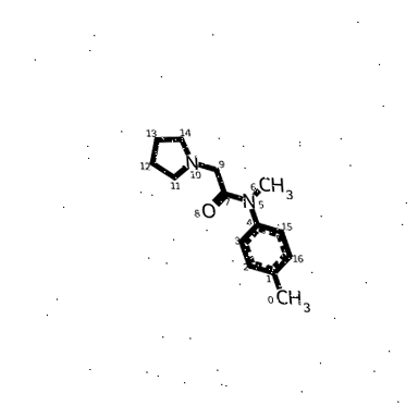 Cc1ccc(N(C)C(=O)CN2CCCC2)cc1